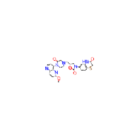 COc1ccc2nccc(N3CCN(CC4CN(c5ccc6c(c5)NC(=O)CS6)C(=O)O4)CC3=O)c2n1